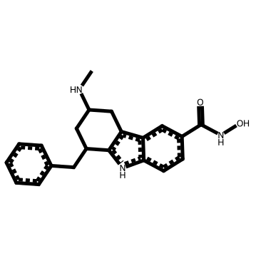 CNC1Cc2c([nH]c3ccc(C(=O)NO)cc23)C(Cc2ccccc2)C1